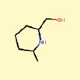 CC1CCCC(CO)N1